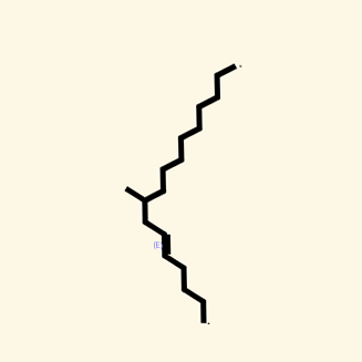 [CH2]CCC/C=C/CC(C)CCCCCCCC[CH2]